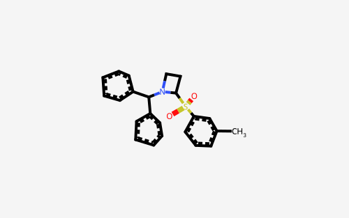 Cc1cccc(S(=O)(=O)C2CCN2C(c2ccccc2)c2ccccc2)c1